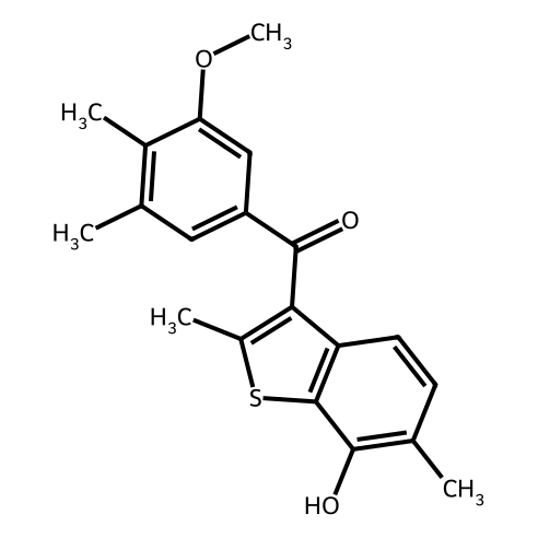 COc1cc(C(=O)c2c(C)sc3c(O)c(C)ccc23)cc(C)c1C